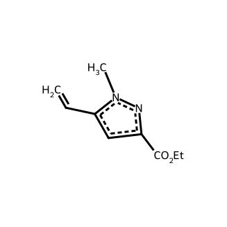 C=Cc1cc(C(=O)OCC)nn1C